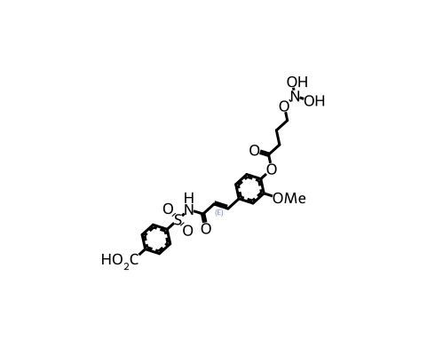 COc1cc(/C=C/C(=O)NS(=O)(=O)c2ccc(C(=O)O)cc2)ccc1OC(=O)CCCON(O)O